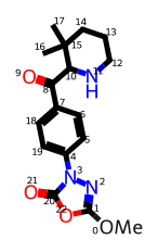 COc1nn(-c2ccc(C(=O)C3NCCCC3(C)C)cc2)c(=O)o1